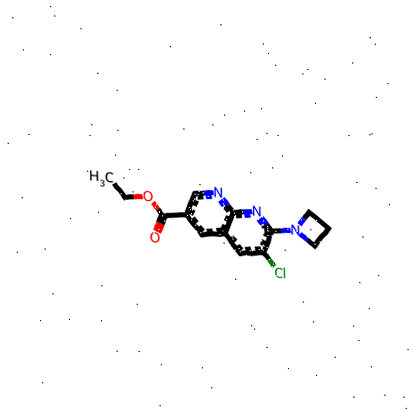 CCOC(=O)c1cnc2nc(N3CCC3)c(Cl)cc2c1